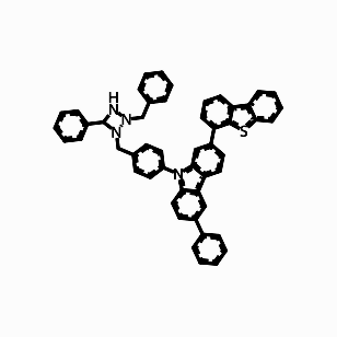 c1ccc(CN2NC(c3ccccc3)N2Cc2ccc(-n3c4ccc(-c5ccccc5)cc4c4ccc(-c5cccc6c5sc5ccccc56)cc43)cc2)cc1